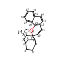 CC1CC2CCCC(C2)C12C=Cc1ccc3ccccc3c1O2